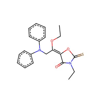 CCO/C(CN(c1ccccc1)c1ccccc1)=C1\OC(=S)N(CC)C1=O